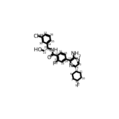 Nc1ncc([C@H]2CC[C@@H](F)CC2)nc1-c1ccc(C(=O)N[C@H](CO)c2cccc(Cl)c2)c(F)c1